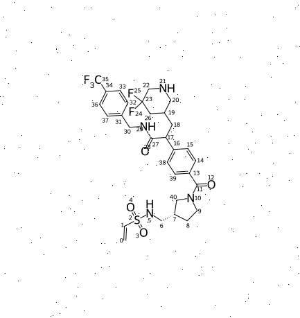 C=CS(=O)(=O)NC[C@H]1CCN(C(=O)c2ccc(C(CC3CNCC(F)(F)C3)C(=O)NCc3ccc(C(F)(F)F)cc3)cc2)C1